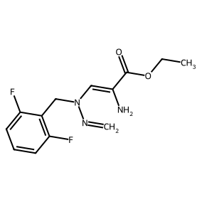 C=NN(/C=C(\N)C(=O)OCC)Cc1c(F)cccc1F